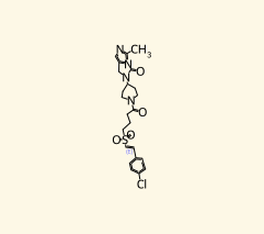 Cc1ncc2n1C(=O)N(C1CCN(C(=O)CCCS(=O)(=O)/C=C/c3ccc(Cl)cc3)CC1)C2